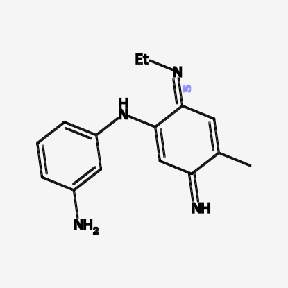 CC/N=C1/C=C(C)C(=N)C=C1Nc1cccc(N)c1